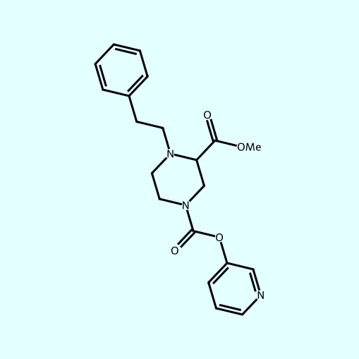 COC(=O)C1CN(C(=O)Oc2cccnc2)CCN1CCc1ccccc1